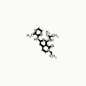 CCn1ccc2cc(Nc3nccnc3C)nc(NC(C)C)c2c1=O